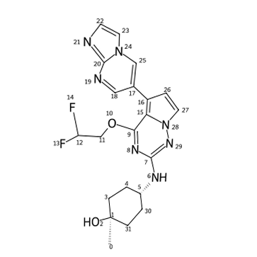 C[C@]1(O)CC[C@H](Nc2nc(OCC(F)F)c3c(-c4cnc5nccn5c4)ccn3n2)CC1